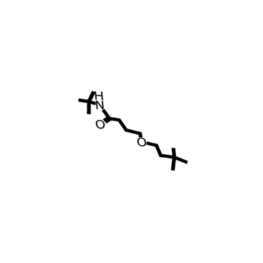 CC(C)(C)CCOCCCC(=O)NC(C)(C)C